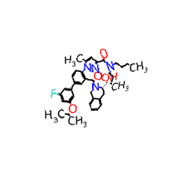 CCCCN(CCCC)C(=O)c1cc(C)n(-c2ccc(-c3cc(F)cc(OC(C)C)c3)cc2C(=O)N2Cc3ccccc3C[C@H]2CO)n1